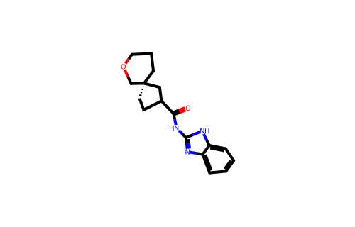 O=C(Nc1nc2ccccc2[nH]1)C1CC[C@]2(CCCOC2)C1